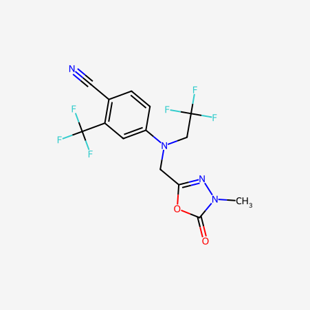 Cn1nc(CN(CC(F)(F)F)c2ccc(C#N)c(C(F)(F)F)c2)oc1=O